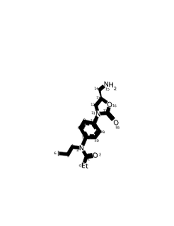 CCC(=O)N(CCI)c1ccc(N2C[C@@H](CN)OC2=O)cc1